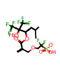 C=C(COCC(F)(F)S(=O)(=O)O)C(=O)OC(CC(C)C)C(O)(C(F)(F)F)C(F)(F)F